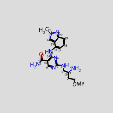 COCC[C@H](N)CNc1ncc(C(N)=O)c(Nc2cccc3nn(C)cc23)n1